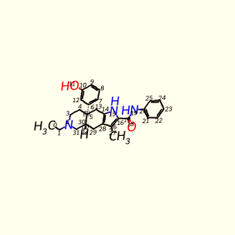 CCN1CC[C@@]2(c3cccc(O)c3)Cc3[nH]c(C(=O)Nc4ccccc4)c(C)c3C[C@@H]2C1